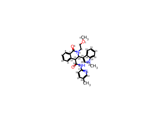 COCCN1C(=O)c2ccccc2C(C(=O)Nc2ccc(C)cn2)C1c1cn(C)c2ccccc12